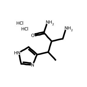 CC(c1c[nH]cn1)C(CN)C(N)=O.Cl.Cl